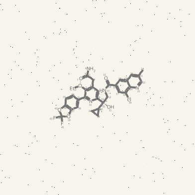 CCOc1c(CC(N)=O)cc([C@@](O)(CNC(=O)c2cc(Cl)c3ncc(C)cc3c2)C2CC2)nc1-c1ccc2c(c1)OC(F)(F)O2